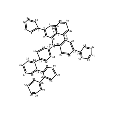 c1ccc(-c2cccc(N(c3ccc(-c4ccccc4-c4ccccc4-c4ccccc4)cc3)c3ccc(-c4ccccc4)cc3-c3ccccc3)c2)cc1